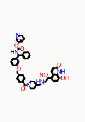 O=C(N[C@@H](c1ccccc1)c1cccc(OCc2ccc(C(=O)N3CCC(CNCC(O)c4ccc(O)c5[nH]c(=O)ccc45)CC3)cc2)c1)OC1CN2CCC1CC2